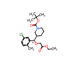 CCOC(=O)CO[C@@H](c1cc(Cl)ccc1C)C1CCCN(C(=O)OC(C)(C)C)C1